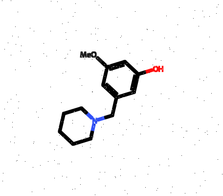 COc1cc(O)cc(CN2CCCCC2)c1